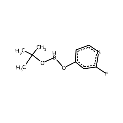 CC(C)(C)OBOc1ccnc(F)c1